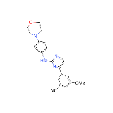 COc1cc(C#N)cc(-c2ccnc(Nc3ccc(N4CCOCC4)cc3)n2)c1